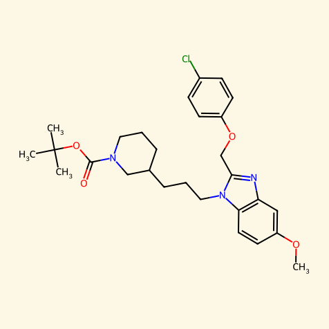 COc1ccc2c(c1)nc(COc1ccc(Cl)cc1)n2CCCC1CCCN(C(=O)OC(C)(C)C)C1